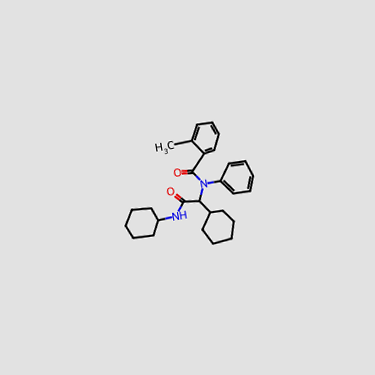 Cc1ccccc1C(=O)N(c1ccccc1)C(C(=O)NC1CCCCC1)C1CCCCC1